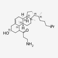 CC(C)CCC[C@@H](C)[C@H]1CC[C@H]2[C@@H]3CC=C4C[C@@H](O)CC(C(=O)CCN)[C@]4(C)[C@H]3CC[C@]12C